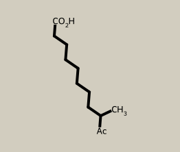 CC(=O)C(C)CCCCCCCC(=O)O